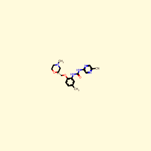 Cc1ccc(OC[C@H]2CN(C)CCO2)c(NC(=O)Nc2cnc(C#N)cn2)c1